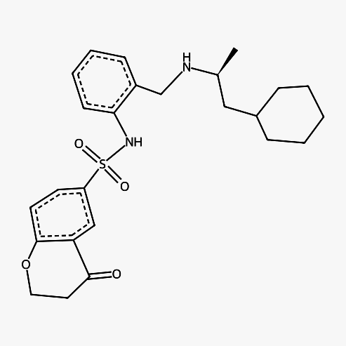 C[C@@H](CC1CCCCC1)NCc1ccccc1NS(=O)(=O)c1ccc2c(c1)C(=O)CCO2